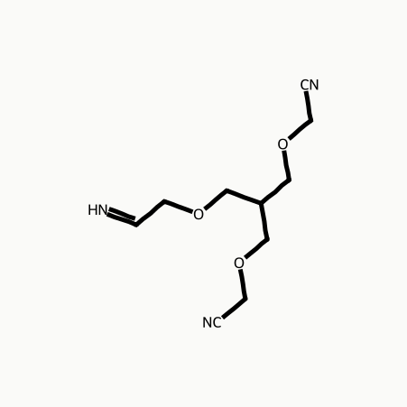 N#CCOCC(COCC#N)COCC=N